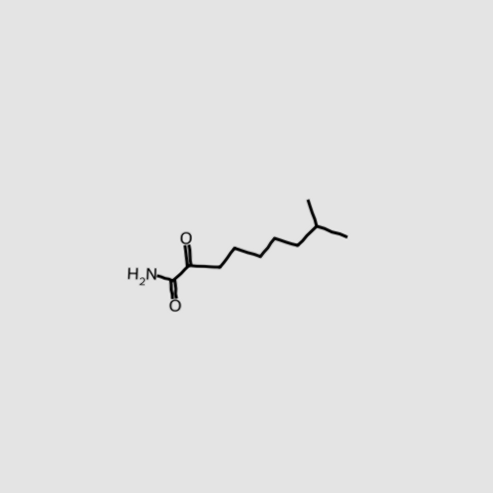 CC(C)CCCCCC(=O)C(N)=O